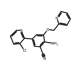 N#Cc1cc(-c2ncccc2Cl)cc(OCc2ccccn2)c1N